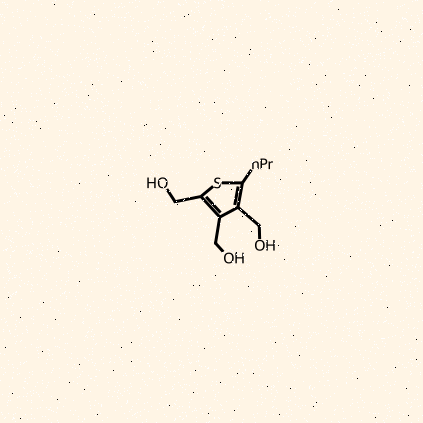 CCCc1sc(CO)c(CO)c1CO